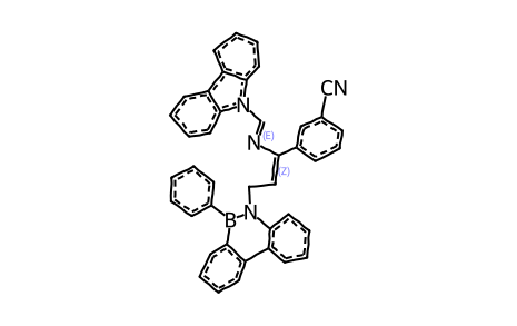 N#Cc1cccc(C(=C/CN2B(c3ccccc3)c3ccccc3-c3ccccc32)/N=C/n2c3ccccc3c3ccccc32)c1